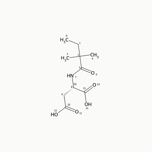 CCC(C)(C)C(=O)N[C@@H](CC(=O)O)C(=O)O